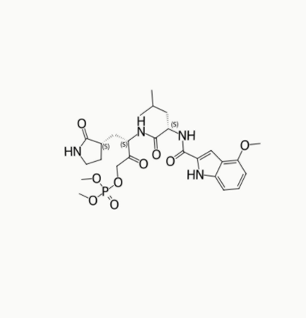 COc1cccc2[nH]c(C(=O)N[C@@H](CC(C)C)C(=O)N[C@@H](C[C@@H]3CCNC3=O)C(=O)COP(=O)(OC)OC)cc12